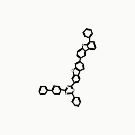 c1ccc(-c2ccc(-c3nc(-c4ccccc4)nc(-c4ccc5c(c4)oc4cc(-c6ccc7sc8c(-c9ccccc9)cccc8c7c6)ccc45)n3)cc2)cc1